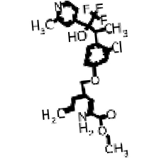 C=C/C=C(\C=C(/N)C(=O)OCC)COc1ccc(C(C)C(O)(c2ccnc(C)c2)C(F)(F)F)c(Cl)c1